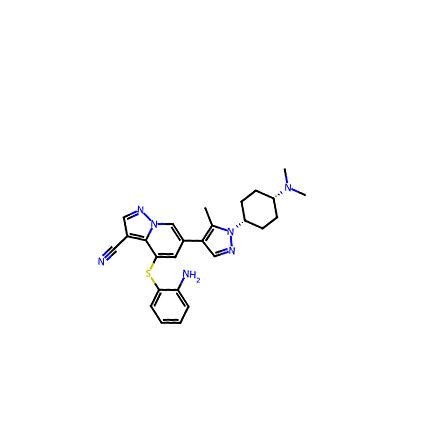 Cc1c(-c2cc(Sc3ccccc3N)c3c(C#N)cnn3c2)cnn1[C@H]1CC[C@@H](N(C)C)CC1